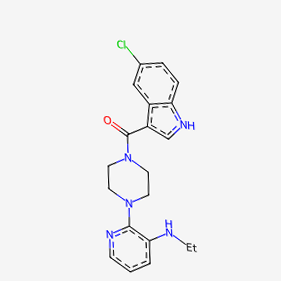 CCNc1cccnc1N1CCN(C(=O)c2c[nH]c3ccc(Cl)cc23)CC1